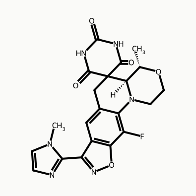 C[C@@H]1OCCN2c3c(cc4c(-c5nccn5C)noc4c3F)CC3(C(=O)NC(=O)NC3=O)[C@@H]12